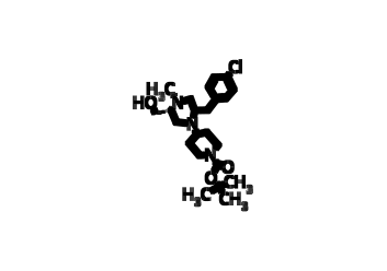 CN1CC(Cc2ccc(Cl)cc2)N(C2CCN(C(=O)OC(C)(C)C)CC2)C[C@@H]1CO